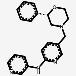 c1ccc([C@H]2CN(Cc3ccc(Nc4cccnc4)nc3)CCO2)cc1